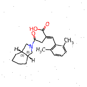 Cc1cccc(C)c1C=C(CC(=O)N1C[C@H]2CCCC[C@H]2C1)C(=O)O